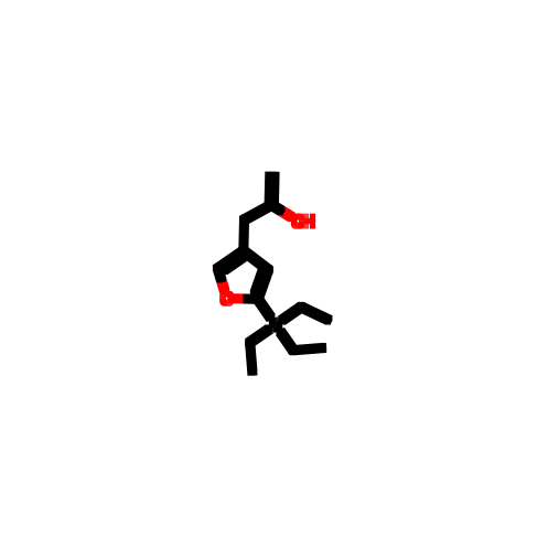 C=C(O)Cc1coc([Si](CC)(CC)CC)c1